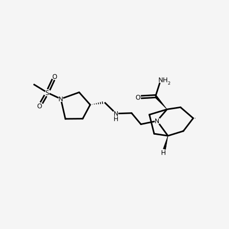 CS(=O)(=O)N1CC[C@@H](CNCCN2[C@@H]3C[CH]C[C@@]2(C(N)=O)CC3)C1